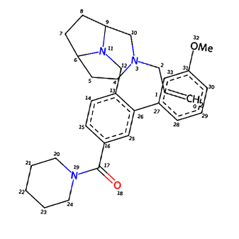 C=CCN1CCC2CCC(C1)N2Cc1ccc(C(=O)N2CCCCC2)cc1-c1cccc(OC)c1